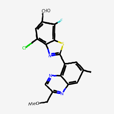 COCc1cnc2c(-c3nc4c(Cl)cc(C=O)c(F)c4s3)cc(C)cc2n1